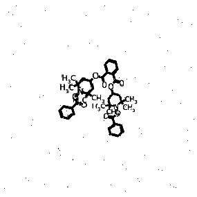 CC1(C)CC(OC(=O)c2ccccc2C(=O)OC2CC(C)(C)N(OC(=O)c3ccccc3)C(C)(C)C2)CC(C)(C)N1OC(=O)c1ccccc1